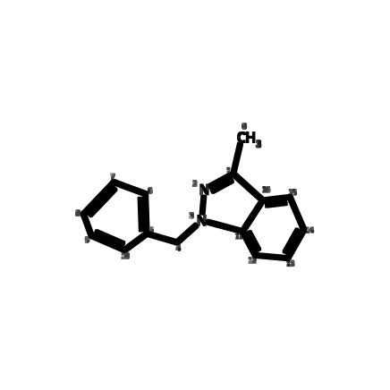 Cc1nn(Cc2ccccc2)c2ccccc12